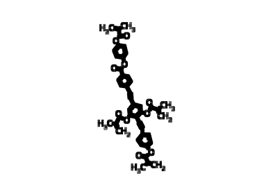 C=C(C)C(=O)Oc1ccc(C#Cc2c(OC(=O)C(=C)C)cc(C#Cc3ccc(C(=O)Oc4ccc(OC(=O)C(=C)C)cc4)cc3)cc2OC(=O)C(=C)C)cc1